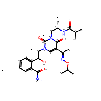 C/C(=N\OC(C)C)c1cn(CC(O)c2ccccc2C(N)=O)c(=O)n(C[C@H](C)NC(=O)C(C)C)c1=O